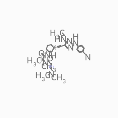 CCNc1nc(Nc2ccc(C#N)cc2)ncc1C#C[C@@H]1CCC[C@H](NC(=O)[C@H](C)N(C)C(=O)/C=C/CN(C)C)C1